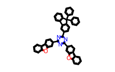 c1ccc(C2(c3ccccc3)c3ccccc3-c3cc(-c4nc(-c5ccc6c(c5)oc5ccccc56)nc(-c5ccc6c(c5)oc5ccccc56)n4)ccc32)cc1